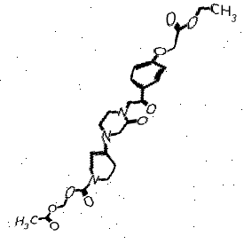 CCOC(=O)COc1ccc(C(=O)CN2CCN(C3CCN(C(=O)OCOC(C)=O)CC3)CC2=O)cc1